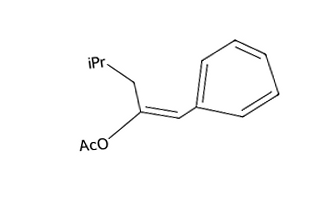 CC(=O)OC(=Cc1ccccc1)CC(C)C